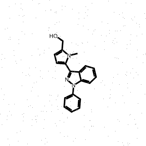 Cn1c(CO)ccc1-c1nn(-c2ccccc2)c2ccccc12